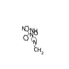 C=CCN1CCC(N2C(=O)Nc3ccncc3C2c2ccccc2)CC1